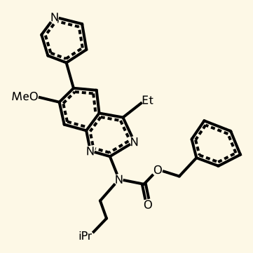 CCc1nc(N(CCC(C)C)C(=O)OCc2ccccc2)nc2cc(OC)c(-c3ccncc3)cc12